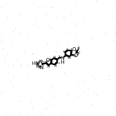 FC1(F)Oc2ccc(NCc3ccc4cc(-c5nn[nH]n5)oc4c3)cc2O1